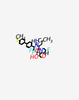 CSc1ccc(-c2ccc([C@H](NC(CC(C)C)C(=O)N3C[C@H](F)[C@H]4OC[C@H](O)[C@H]43)C(F)(F)F)cc2)cc1